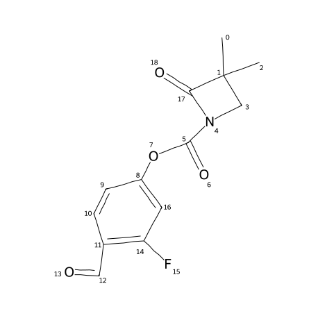 CC1(C)CN(C(=O)Oc2ccc(C=O)c(F)c2)C1=O